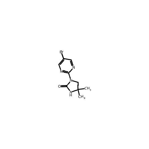 CC1(C)CN(c2ncc(Br)cn2)C(=O)N1